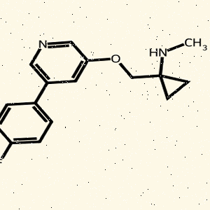 CNC1(COc2cncc(-c3ccc(F)cc3)c2)CC1